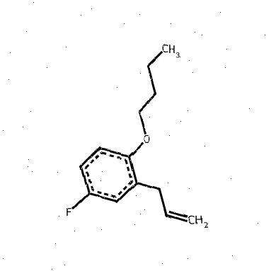 C=CCc1cc(F)ccc1OCCCC